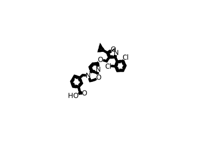 O=C(O)c1cccc(CN2CCOc3nc(OCc4c(-c5c(Cl)cccc5Cl)noc4C4CC4)ccc32)c1